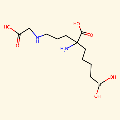 NC(CCCCB(O)O)(CCCNCC(=O)O)C(=O)O